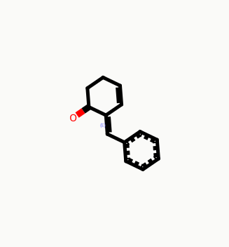 O=C1CCC=C/C1=C\c1ccccc1